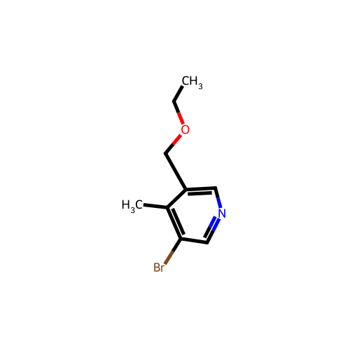 CCOCc1cncc(Br)c1C